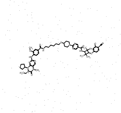 CC[C@@H]1C(=O)N(C)c2cnc(Nc3ccc(C(=O)NCCCCCCOC4CCN(c5ncc(C(=O)NC6C(C)(C)C(Oc7ccc(C#N)c(Cl)c7)C6(C)C)cn5)CC4)cc3OC)nc2N1C1CCCC1